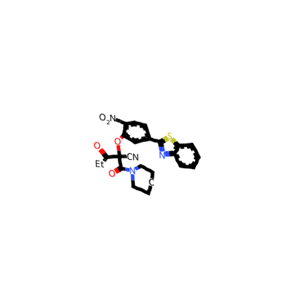 CCC(=O)C(C#N)(Oc1cc(-c2nc3ccccc3s2)ccc1[N+](=O)[O-])C(=O)N1CCCCC1